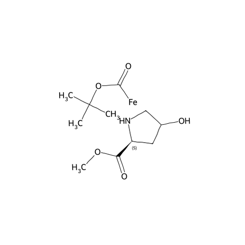 CC(C)(C)O[C](=O)[Fe].COC(=O)[C@@H]1CC(O)CN1